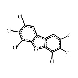 Clc1cc2c(oc3c(Cl)c(Cl)c(Cl)cc32)c(Cl)c1Cl